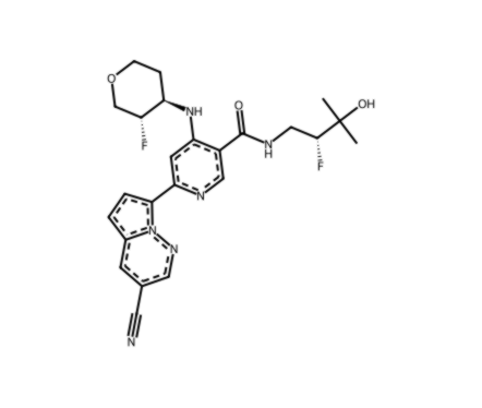 CC(C)(O)[C@H](F)CNC(=O)c1cnc(-c2ccc3cc(C#N)cnn23)cc1N[C@@H]1CCOC[C@H]1F